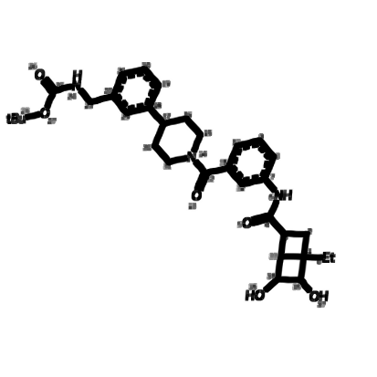 CCC12CC(C(=O)Nc3cccc(C(=O)N4CCC(c5cccc(CNC(=O)OC(C)(C)C)c5)CC4)c3)C1C(O)C2O